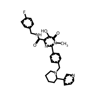 Cn1c(-c2ccc(CN3CCCCC3c3cccnc3)cc2)nc(C(=O)NCc2ccc(F)cc2)c(O)c1=O